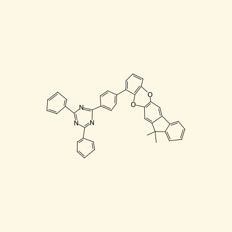 CC1(C)c2ccccc2-c2cc3c(cc21)Oc1c(cccc1-c1ccc(-c2nc(-c4ccccc4)nc(-c4ccccc4)n2)cc1)O3